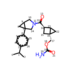 CC(C)c1ccc(C23CC2CN(C(=O)[C@@H]2C[C@]4(COC(N)=O)CC24)C3)cc1